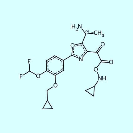 C[C@H](N)c1oc(-c2ccc(OC(F)F)c(OCC3CC3)c2)nc1C(=O)C(=O)ONC1CC1